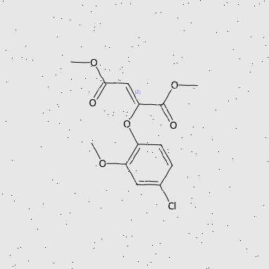 COC(=O)/C=C(\Oc1ccc(Cl)cc1OC)C(=O)OC